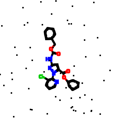 O=C(Nc1cc(C(=O)Oc2ccccc2)n(-c2ncccc2Cl)n1)OCc1ccccc1